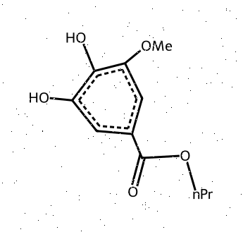 CCCOC(=O)c1cc(O)c(O)c(OC)c1